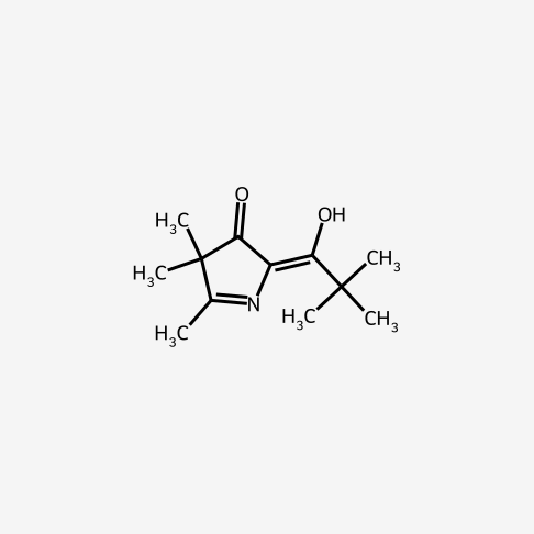 CC1=N/C(=C(/O)C(C)(C)C)C(=O)C1(C)C